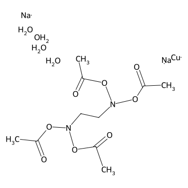 CC(=O)ON(CCN(OC(C)=O)OC(C)=O)OC(C)=O.O.O.O.O.[Cu].[Na].[Na]